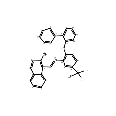 Oc1ccc2ccccc2c1/C=N/c1cc(C(F)(F)F)ccc1Oc1ccccc1-c1ccccc1